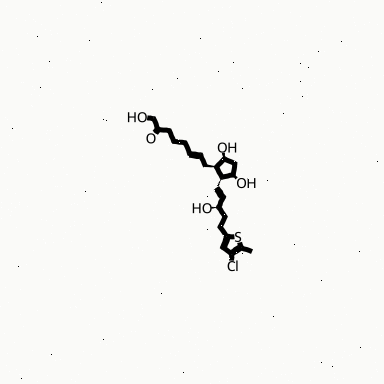 Cc1sc(CC[C@H](O)C=C[C@@H]2[C@@H](CC=CCCCC(=O)CO)[C@@H](O)C[C@H]2O)cc1Cl